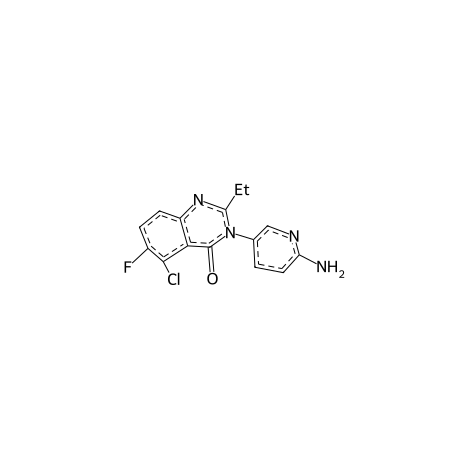 CCc1nc2ccc(F)c(Cl)c2c(=O)n1-c1ccc(N)nc1